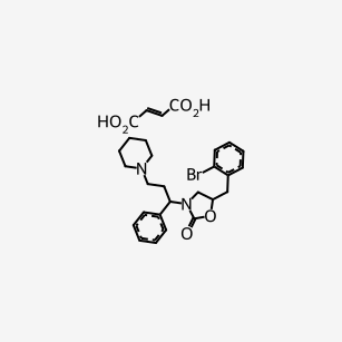 O=C(O)C=CC(=O)O.O=C1OC(Cc2ccccc2Br)CN1C(CCN1CCCCC1)c1ccccc1